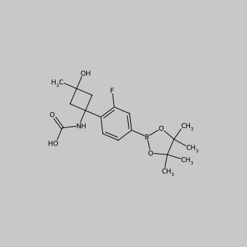 CC1(O)CC(NC(=O)O)(c2ccc(B3OC(C)(C)C(C)(C)O3)cc2F)C1